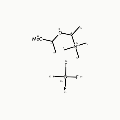 COC(C)OC(C)[N+](C)(C)C.F[B-](F)(F)F